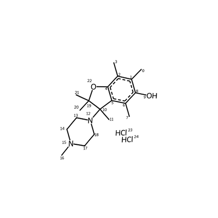 Cc1c(C)c2c(c(C)c1O)C(C)(N1CCN(C)CC1)C(C)(C)O2.Cl.Cl